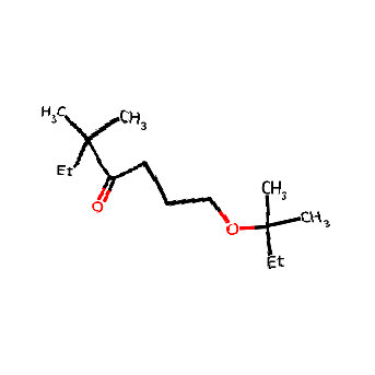 CCC(C)(C)OCCCC(=O)C(C)(C)CC